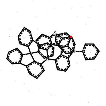 c1ccc(-n2c3ccccc3c3c(N(c4cccc5c4C4(c6ccccc6-c6ccccc64)c4ccccc4-5)c4cccc5sc6ccccc6c45)cccc32)cc1